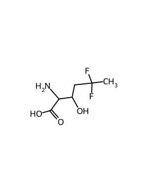 CC(F)(F)CC(O)C(N)C(=O)O